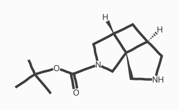 CC(C)(C)OC(=O)N1C[C@@H]2C[C@H]3CNC[C@]32C1